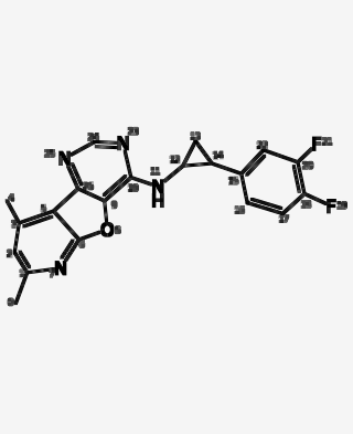 Cc1cc(C)c2c(n1)oc1c(NC3CC3c3ccc(F)c(F)c3)ncnc12